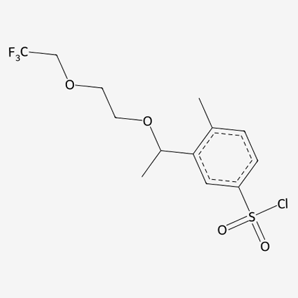 Cc1ccc(S(=O)(=O)Cl)cc1C(C)OCCOCC(F)(F)F